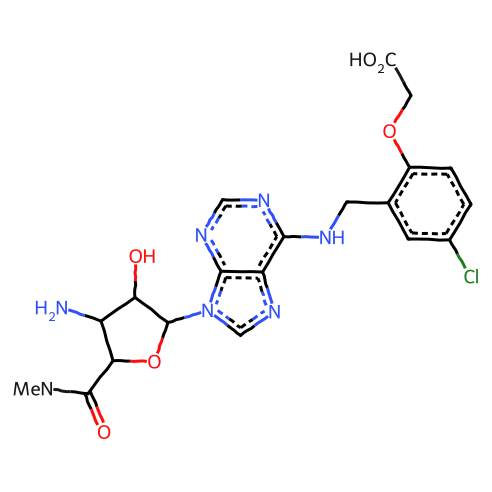 CNC(=O)C1OC(n2cnc3c(NCc4cc(Cl)ccc4OCC(=O)O)ncnc32)C(O)C1N